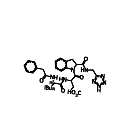 CC[C@H](C)[C@H](NC(=O)Cc1ccccc1)C(=O)NC(CC(=O)O)C(=O)N1c2ccccc2CC1C(=O)NCc1nn[nH]n1